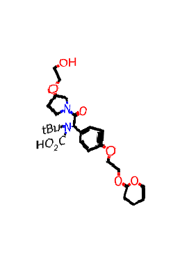 CC(C)(C)N(C(=O)O)[C@H](C(=O)N1CCC(OCCO)C1)c1ccc(OCCOC2CCCCO2)cc1